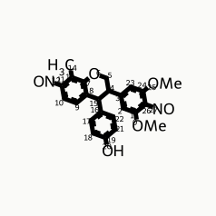 COc1cc(C2COc3c(ccc(N=O)c3C)C2c2ccc(O)cc2)cc(OC)c1N=O